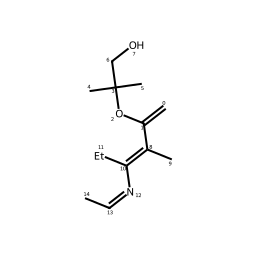 C=C(OC(C)(C)CO)/C(C)=C(CC)/N=C\C